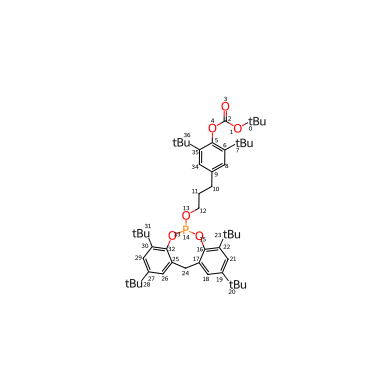 CC(C)(C)OC(=O)Oc1c(C(C)(C)C)cc(CCCOP2Oc3c(cc(C(C)(C)C)cc3C(C)(C)C)Cc3cc(C(C)(C)C)cc(C(C)(C)C)c3O2)cc1C(C)(C)C